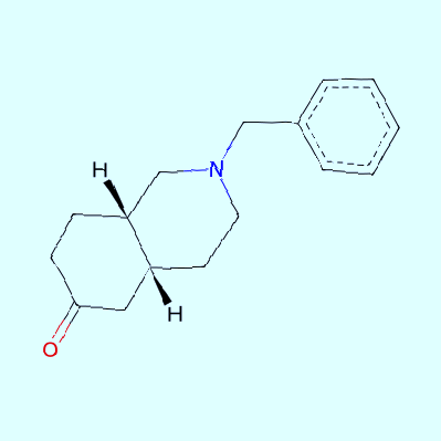 O=C1CC[C@@H]2CN(Cc3ccccc3)CC[C@@H]2C1